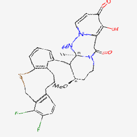 CO[C@@H]1CCN2C(=O)c3c(O)c(=O)ccn3N[C@@H]2C1c1cccc2c1Cc1ccc(F)c(F)c1CS2